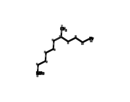 CNCCCCCC(C)CCCC(C)C